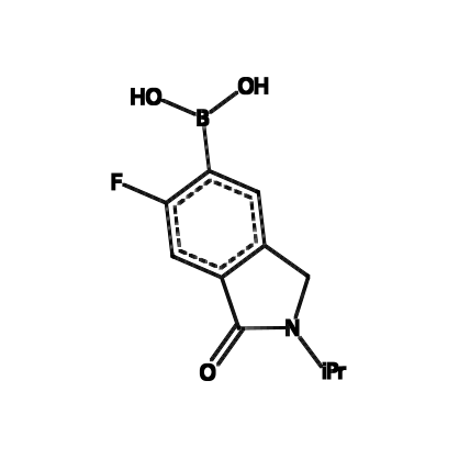 CC(C)N1Cc2cc(B(O)O)c(F)cc2C1=O